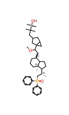 COC(/C=C1\CCC[C@@]2(C)C1CCC2[C@H](C)CP(=O)(c1ccccc1)c1ccccc1)C12CC(CC(C)(C)[Si](C)(C)O)CC1C2